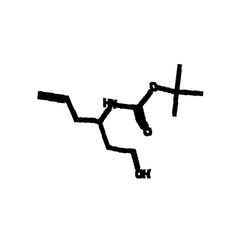 C=CCC(CCO)NC(=O)OC(C)(C)C